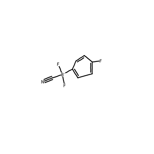 N#C[B-](F)(F)c1ccc(F)cc1